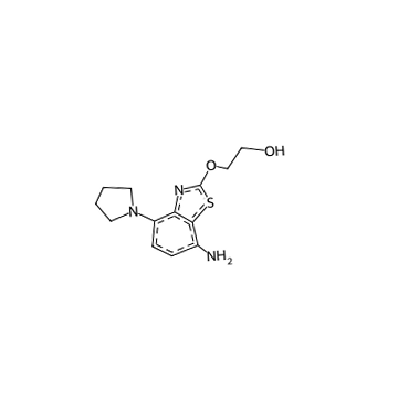 Nc1ccc(N2CCCC2)c2nc(OCCO)sc12